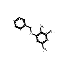 Cc1[c]c(OCc2ccccc2)c(C)c(C)c1